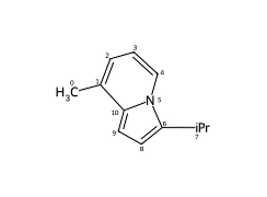 Cc1cccn2c(C(C)C)ccc12